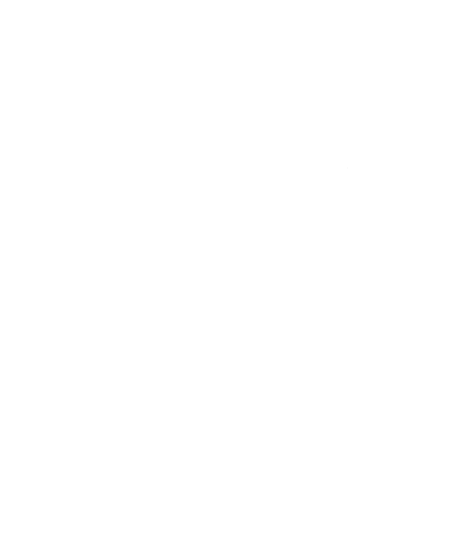 Cc1ccc2c(c1)C(C1C=Cc3ccccc31)=C1C=CC=CC12